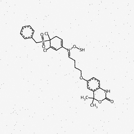 CC1(C)OC(=O)Nc2ccc(OCCCC=[N+](OS)C3=CCC(Cl)(S(=O)(=O)Cc4ccccc4)C(Cl)=C3)cc21